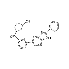 N#CC1CCN(C(=O)c2cccc(-c3cnc4[nH]c(-c5ccccc5)nc4c3)n2)C1